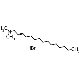 Br.CCCCCCCCCCCCC=CCN(C)C